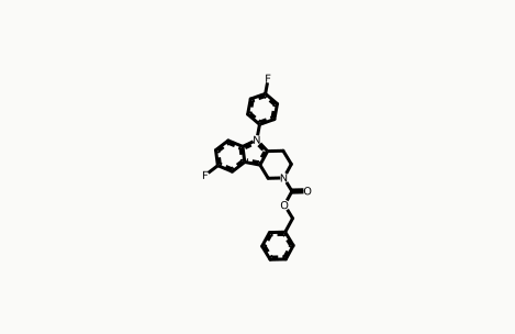 O=C(OCc1ccccc1)N1CCc2c(c3cc(F)ccc3n2-c2ccc(F)cc2)C1